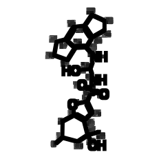 CC1Cc2oc(S(=O)(=O)NC(O)Nc3c4c(cc5c3CCC5)CCC4)cc2C(C)(O)C1